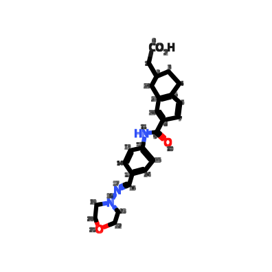 O=C(O)CC1CCc2ccc(C(=O)Nc3ccc(C=NN4CCOCC4)cc3)cc2C1